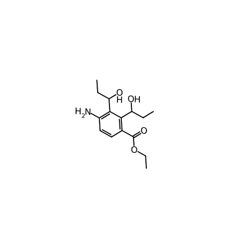 CCOC(=O)c1ccc(N)c(C(O)CC)c1C(O)CC